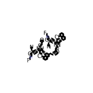 N#CC[C@H]1CN(c2nc(OCC3COC3)nc3c2CCN(c2cc(CCN4CCOC(COc5nc6c(c(N7CCN(C(=O)/C=C/CF)[C@@H](CC#N)C7)n5)CCN(c5cccc7cccc(Cl)c57)C6)C4)cc4cccc(Cl)c24)C3)CCN1C(=O)/C=C/CF